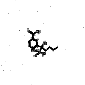 CCCCC(O)(c1cccc(C(=O)O)c1)P(=O)(O)O